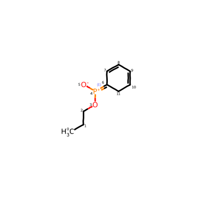 CCCO/[P+]([O-])=C1/C=CC=CC1